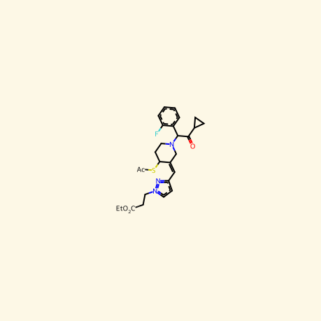 CCOC(=O)CCn1ccc(C=C2CN(C(C(=O)C3CC3)c3ccccc3F)CCC2SC(C)=O)n1